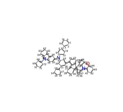 c1ccc(-c2ccc(N(c3cc(-c4ccccc4)cc(-c4cccc5c4-c4ccccc4C54c5ccccc5N5c6ccccc6Oc6cccc4c65)c3)c3ccc4c(c3)c3ccccc3n4-c3ccccc3)cc2)cc1